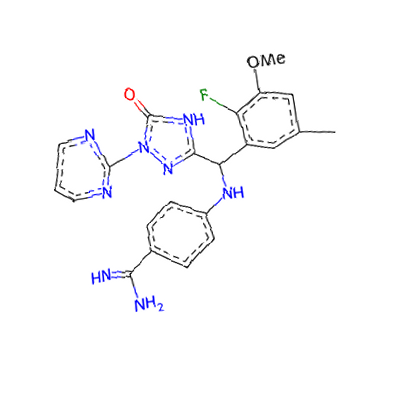 COc1cc(C)cc(C(Nc2ccc(C(=N)N)cc2)c2nn(-c3ncccn3)c(=O)[nH]2)c1F